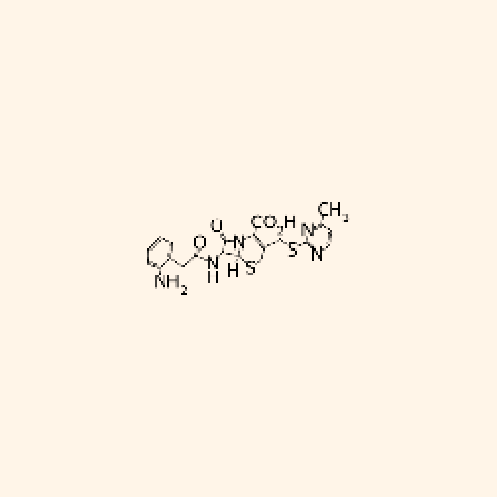 Cc1ccnc(SCC2=C(C(=O)O)N3C(=O)C(NC(=O)Cc4ccccc4N)[C@@H]3SC2)n1